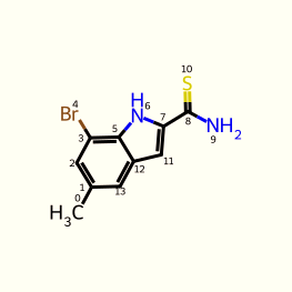 Cc1cc(Br)c2[nH]c(C(N)=S)cc2c1